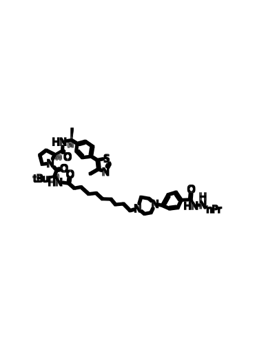 CCCNNC(=O)c1ccc(N2CCN(CCCCCCCCCC(=O)N[C@H](C(=O)N3CCC[C@H]3C(=O)N[C@@H](C)c3ccc(-c4scnc4C)cc3)C(C)(C)C)CC2)cc1